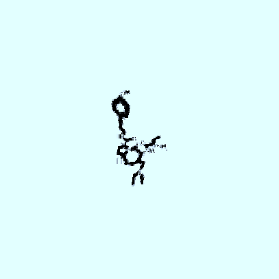 CC[C@H](N)C(=O)N[C@@H]1C(=O)N2[C@@H](CCC1CN(CC)CC)CC[C@H]2C(=O)NCCc1ccc(OC)cc1